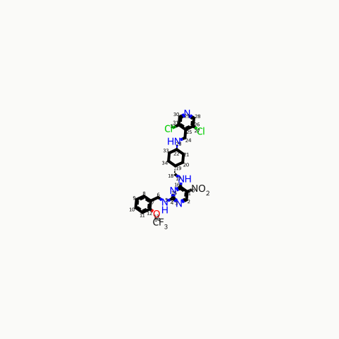 O=[N+]([O-])c1cnc(NCc2ccccc2OC(F)(F)F)nc1NC[C@H]1CC[C@H](NCc2c(Cl)cncc2Cl)CC1